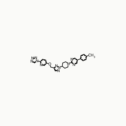 Cc1ccc(-c2cnc(N3CCC(n4ncc(COc5ccc(-n6cnnn6)nc5)n4)CC3)nc2)cc1